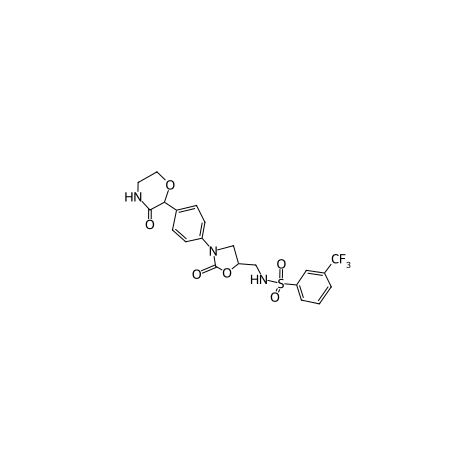 O=C1NCCOC1c1ccc(N2CC(CNS(=O)(=O)c3cccc(C(F)(F)F)c3)OC2=O)cc1